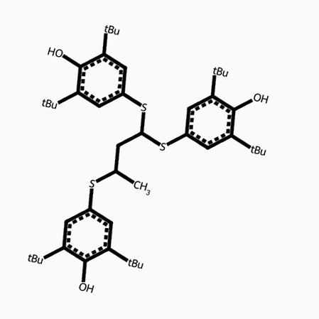 CC(CC(Sc1cc(C(C)(C)C)c(O)c(C(C)(C)C)c1)Sc1cc(C(C)(C)C)c(O)c(C(C)(C)C)c1)Sc1cc(C(C)(C)C)c(O)c(C(C)(C)C)c1